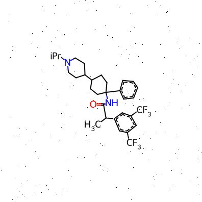 CC(C(=O)NC1(c2ccccc2)CCC(C2CCN(C(C)C)CC2)CC1)c1cc(C(F)(F)F)cc(C(F)(F)F)c1